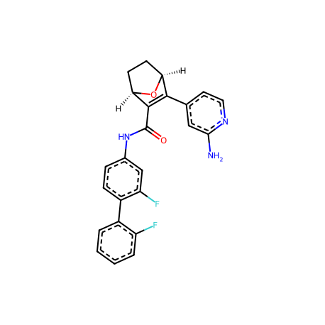 Nc1cc(C2=C(C(=O)Nc3ccc(-c4ccccc4F)c(F)c3)[C@H]3CC[C@@H]2O3)ccn1